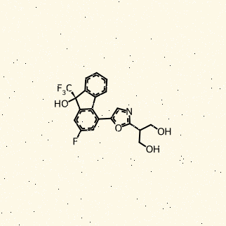 OCC(CO)c1ncc(-c2cc(F)cc3c2-c2ccccc2[C@]3(O)C(F)(F)F)o1